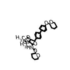 C[C@@](CCc1ccc(-c2ccc(OC3CCCCO3)cc2)cc1)(C(=O)NOC1CCCCO1)S(C)(=O)=O